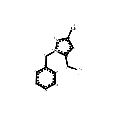 CC(C)Cc1cc(C#N)nn1Cc1ccccc1